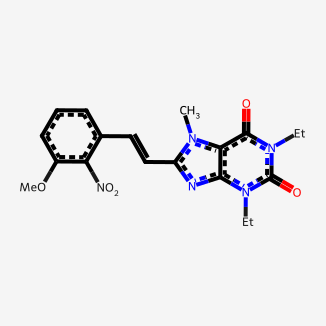 CCn1c(=O)c2c(nc(/C=C/c3cccc(OC)c3[N+](=O)[O-])n2C)n(CC)c1=O